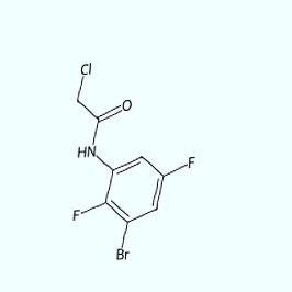 O=C(CCl)Nc1cc(F)cc(Br)c1F